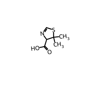 CC1(C)SC=NC1C(=O)O